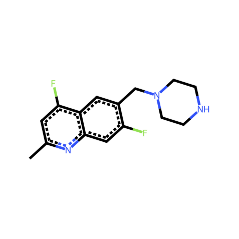 Cc1cc(F)c2cc(CN3CCNCC3)c(F)cc2n1